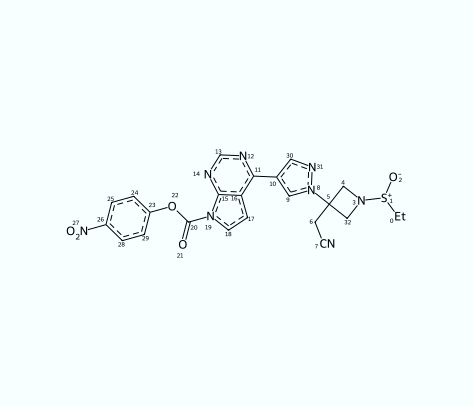 CC[S+]([O-])N1CC(CC#N)(n2cc(-c3ncnc4c3ccn4C(=O)Oc3ccc([N+](=O)[O-])cc3)cn2)C1